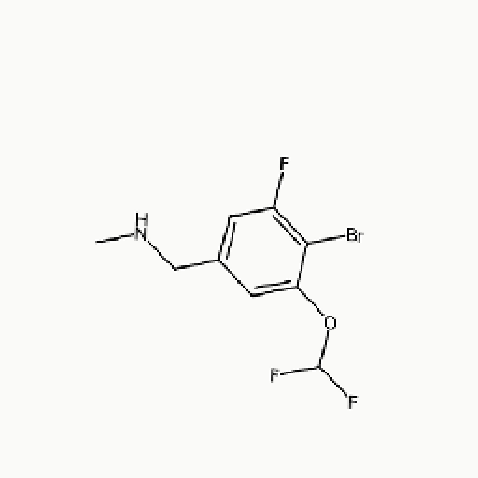 CNCc1cc(F)c(Br)c(OC(F)F)c1